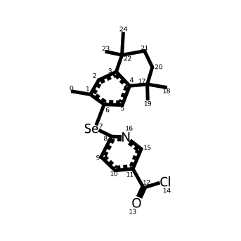 Cc1cc2c(cc1[Se]c1ccc(C(=O)Cl)cn1)C(C)(C)CCC2(C)C